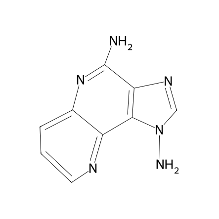 Nc1nc2cccnc2c2c1ncn2N